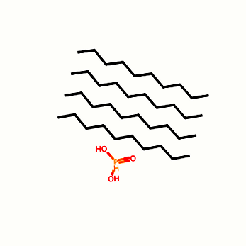 CCCCCCCCCC.CCCCCCCCCC.CCCCCCCCCC.CCCCCCCCCC.O=[PH](O)O